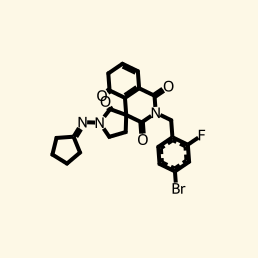 O=C1CC=CC2=C1C1(CCN(N=C3CCCC3)C1=O)C(=O)N(Cc1ccc(Br)cc1F)C2=O